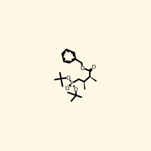 C[C@H](C(=O)OCc1ccccc1)[C@@H](C)CP(=O)(OC(C)(C)C)OC(C)(C)C